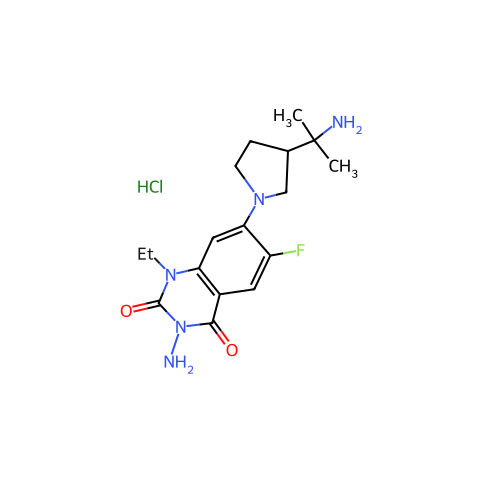 CCn1c(=O)n(N)c(=O)c2cc(F)c(N3CCC(C(C)(C)N)C3)cc21.Cl